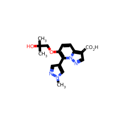 Cn1cc(-c2c(OCC(C)(C)O)ccc3c(C(=O)O)cnn23)cn1